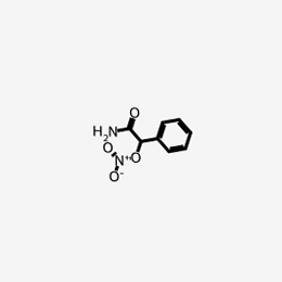 NC(=O)C(O[N+](=O)[O-])c1ccccc1